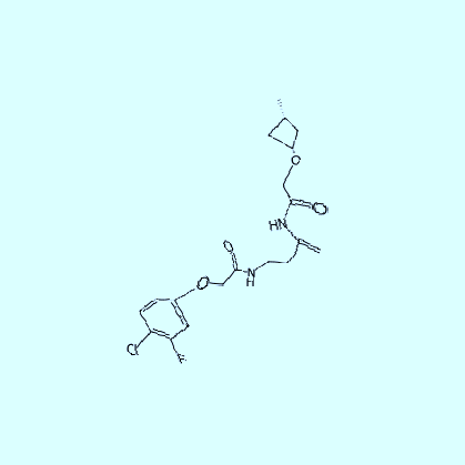 C=C(CCNC(=O)COc1ccc(Cl)c(F)c1)NC(=O)CO[C@H]1C[C@@H](C)C1